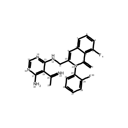 C=C1c2c(F)cccc2C=C(CNc2ncnc(N)c2C(C)=N)N1c1ccccc1F